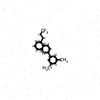 Cc1cc(C)cc(-c2ccc3c(CCC(F)(F)F)cccc3n2)c1